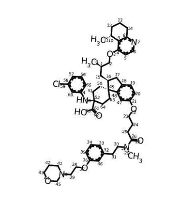 C[C@@H](COc1ccnc2c1[C@H](C)CCC2)C[C@H]1Cc2ccc(OCCCC(=O)N(C)CCc3cccc(OCCN4CCCOC4)c3)cc2[C@]12CC[C@@](Nc1cccc(Cl)c1)(C(=O)O)CC2